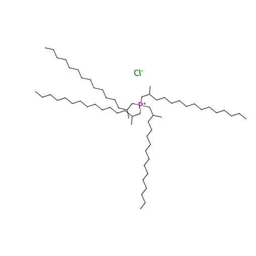 CCCCCCCCCCCCCC(C)C[P+](CC(C)CCCCCCCCCCCCC)(CC(C)CCCCCCCCCCCCC)CC(C)CCCCCCCCCCCCC.[Cl-]